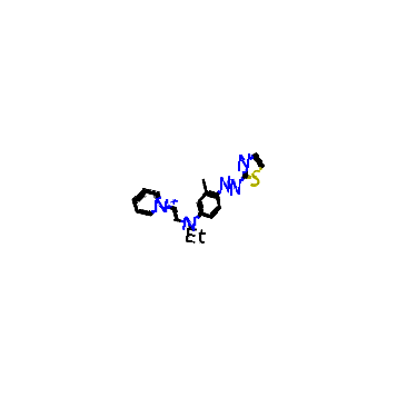 CCN(CC[n+]1ccccc1)c1ccc(/N=N/c2nccs2)c(C)c1